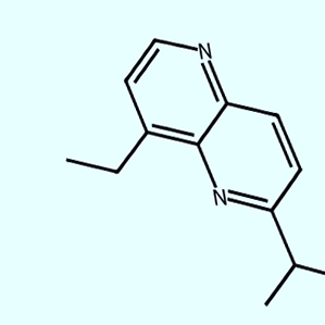 CCc1ccnc2ccc(C(C)C)nc12